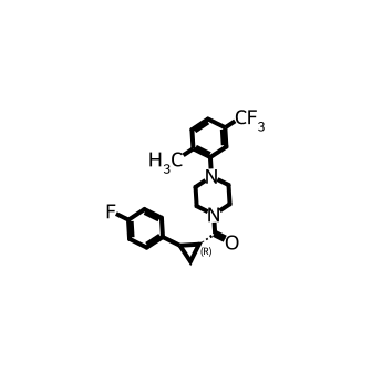 Cc1ccc(C(F)(F)F)cc1N1CCN(C(=O)[C@@H]2CC2c2ccc(F)cc2)CC1